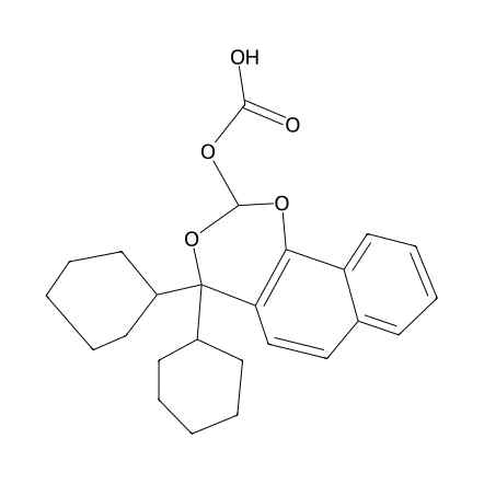 O=C(O)OC1Oc2c(ccc3ccccc23)C(C2CCCCC2)(C2CCCCC2)O1